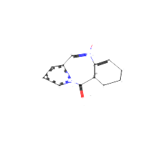 O=C1[C@@H]2CCCC=C2[N+]([O-])=Cc2cccn21